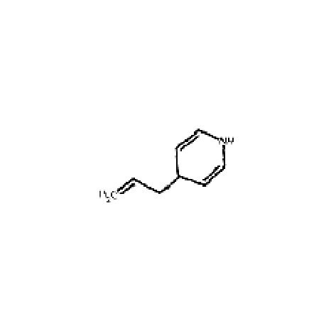 C=CCC1C=CNC=C1